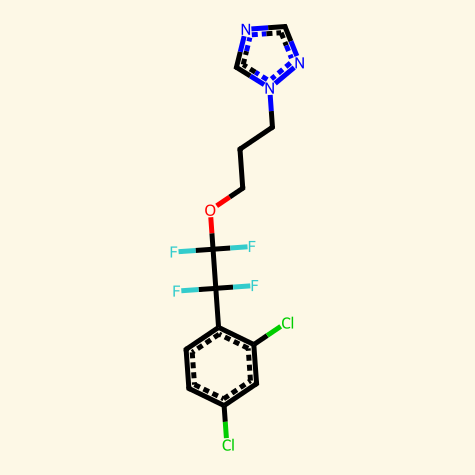 FC(F)(OCCCn1cncn1)C(F)(F)c1ccc(Cl)cc1Cl